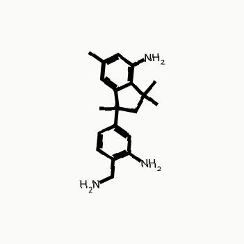 Cc1cc(N)c2c(c1)C(C)(c1ccc(CN)c(N)c1)CC2(C)C